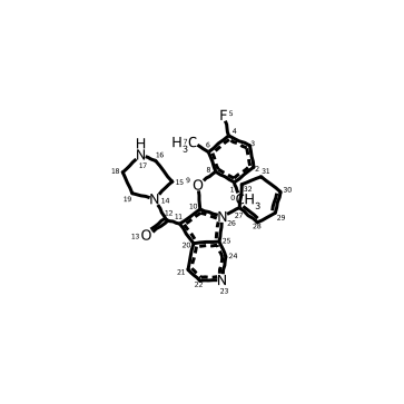 Cc1ccc(F)c(C)c1Oc1c(C(=O)N2CCNCC2)c2ccncc2n1C1=CC=CCC1